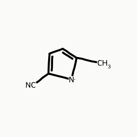 CC1=CC=C(C#N)[N]1